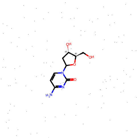 Nc1ccn(C2C[C@H](O)[C@@H](CO)O2)c(=O)n1